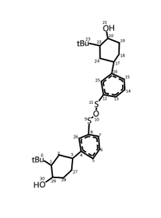 CC(C)(C)C1CC(c2cccc(SOSc3cccc(C4CCC(O)C(C(C)(C)C)C4)c3)c2)CCC1O